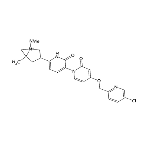 CN[N+]12CC(c3ccc(-n4ccc(OCc5ccc(Cl)cn5)cc4=O)c(=O)[nH]3)CC1(C)C2